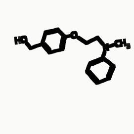 CN(CCOc1ccc(CO)cc1)c1ccccc1